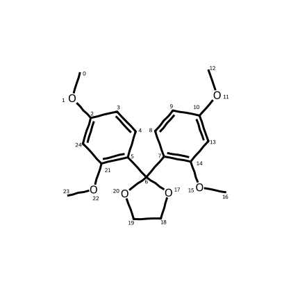 COc1ccc(C2(c3ccc(OC)cc3OC)OCCO2)c(OC)c1